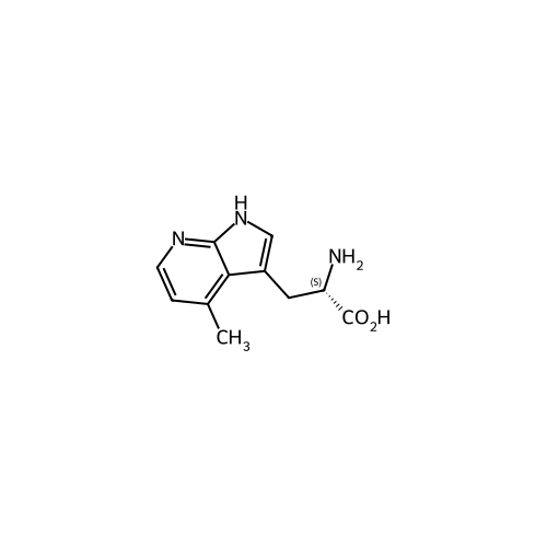 Cc1ccnc2[nH]cc(C[C@H](N)C(=O)O)c12